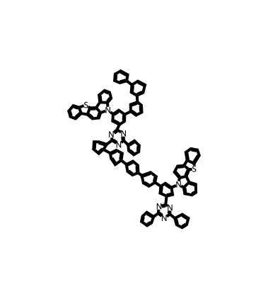 c1ccc(-c2cccc(-c3cccc(-c4cc(-c5nc(-c6ccccc6)nc(-c6ccccc6-c6ccc(-c7ccc(-c8ccc(-c9cc(-c%10nc(-c%11ccccc%11)nc(-c%11ccccc%11)n%10)cc(-n%10c%11ccccc%11c%11c%12sc%13ccccc%13c%12ccc%11%10)c9)cc8)cc7)cc6)n5)cc(-n5c6ccccc6c6c7sc8ccccc8c7ccc65)c4)c3)c2)cc1